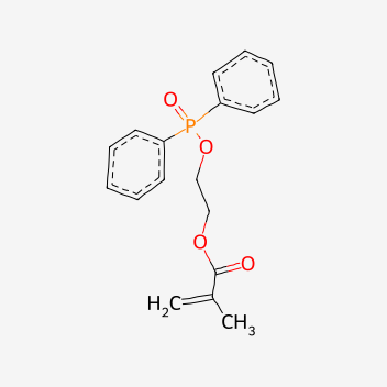 C=C(C)C(=O)OCCOP(=O)(c1ccccc1)c1ccccc1